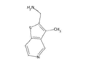 Cc1c(CN)sc2ccncc12